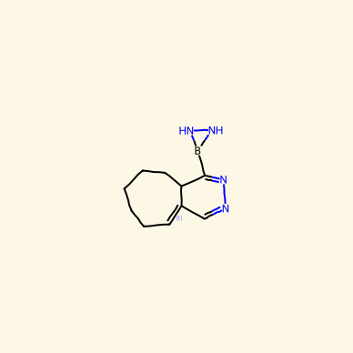 C1=NN=C(B2NN2)C2CCCCC/C=C/12